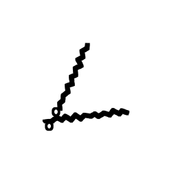 CCCCCCCCCCCCCCCCOC(CCCCCCCCCCCCCCC)C1CO1